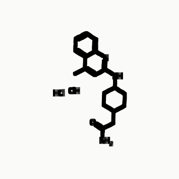 Cc1cc(NC2CCC(CC(N)=O)CC2)nc2ccccc12.Cl.Cl